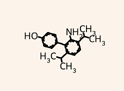 CC(C)c1ccc(C(C)C)c(-c2ccc(O)cc2)c1N